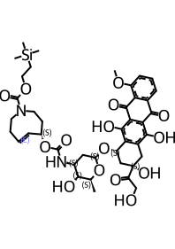 COc1cccc2c1C(=O)c1c(O)c3c(c(O)c1C2=O)C[C@@](O)(C(=O)CO)C[C@@H]3O[C@@H]1C[C@H](NC(=O)O[C@@H]2/C=C/CCN(C(=O)OCC[Si](C)(C)C)CC2)[C@H](O)[C@H](C)O1